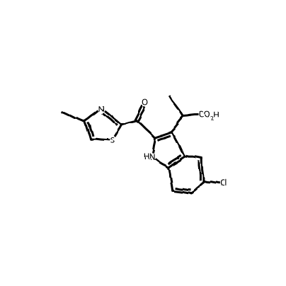 Cc1csc(C(=O)c2[nH]c3ccc(Cl)cc3c2C(C)C(=O)O)n1